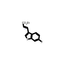 CCOC(=O)/C=C/c1csc2cc(F)ccc12